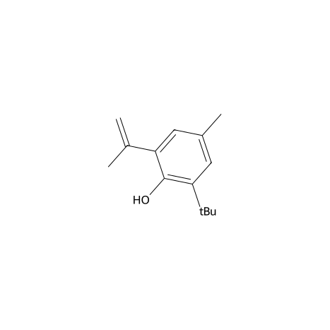 C=C(C)c1cc(C)cc(C(C)(C)C)c1O